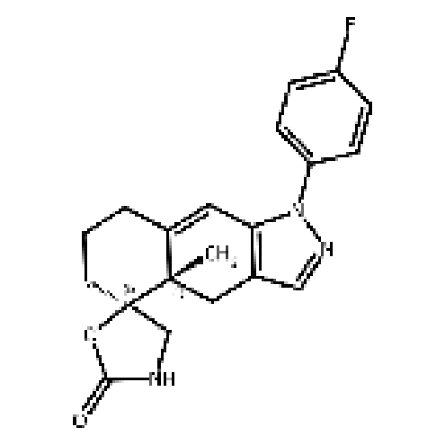 C[C@]12Cc3cnn(-c4ccc(F)cc4)c3C=C1CCC[C@@]21CNC(=O)O1